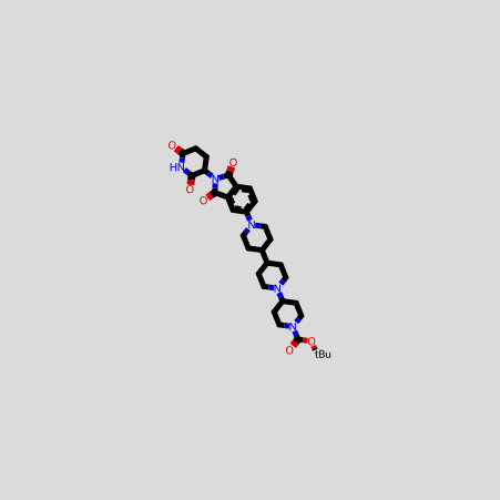 CC(C)(C)OC(=O)N1CCC(N2CCC(C3CCN(c4ccc5c(c4)C(=O)N(C4CCC(=O)NC4=O)C5=O)CC3)CC2)CC1